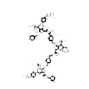 COc1ccc(C2C/C(=N\O)c3c(SCc4ccc(CCOC(=O)c5sc(SCc6ccc(C(C)OC(=O)c7sc([S+]([O-])Cc8ccccc8)c8c7CN(c7ccc(OC)cc7)C/C8=N\O)cc6)c6c5CC5(CCOCC5)C/C6=N\O)cc4)sc(C(=O)OCc4ccccc4)c3C2)cc1